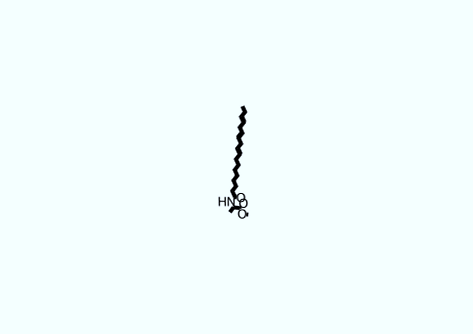 CCC=CCC=CCC=CCCCCCCCC(=O)NC(C)C(=O)OC